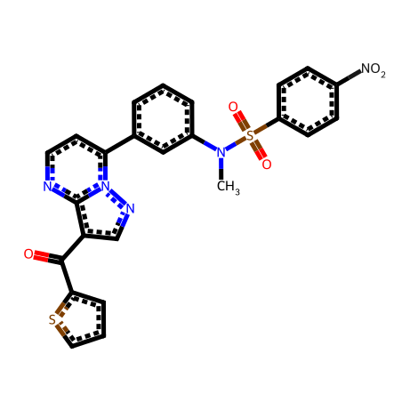 CN(c1cccc(-c2ccnc3c(C(=O)c4cccs4)cnn23)c1)S(=O)(=O)c1ccc([N+](=O)[O-])cc1